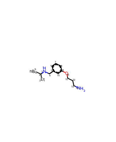 CCCCC(CC)NCc1cccc(OCCCN)c1